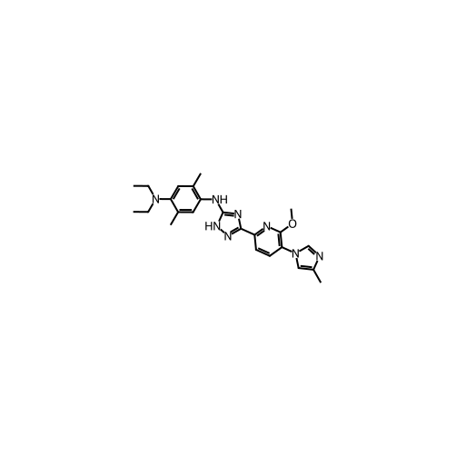 CCN(CC)c1cc(C)c(Nc2nc(-c3ccc(-n4cnc(C)c4)c(OC)n3)n[nH]2)cc1C